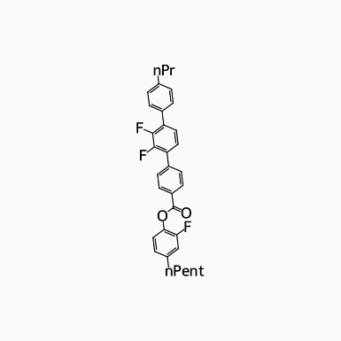 CCCCCc1ccc(OC(=O)c2ccc(-c3ccc(-c4ccc(CCC)cc4)c(F)c3F)cc2)c(F)c1